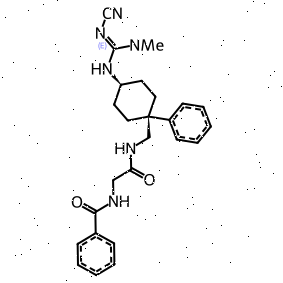 CN/C(=N\C#N)N[C@H]1CC[C@](CNC(=O)CNC(=O)c2ccccc2)(c2ccccc2)CC1